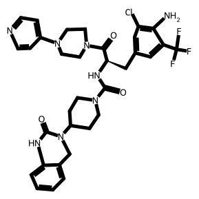 Nc1c(Cl)cc(C[C@@H](NC(=O)N2CCC(N3Cc4ccccc4NC3=O)CC2)C(=O)N2CCN(c3ccncc3)CC2)cc1C(F)(F)F